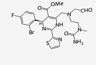 COC(=O)C1=C(CN(CC=O)CCN(C)C(N)=O)NC(c2nccs2)=N[C@H]1c1ccc(F)cc1Br